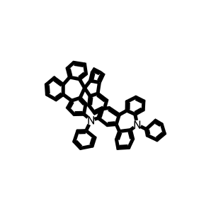 c1ccc(N(c2ccc3c(c2)-c2ccccc2N(c2ccccc2)c2ccccc2-3)c2ccc3c(c2)C2(c4ccccc4-c4ccccc4-3)c3ccccc3-c3ccccc32)cc1